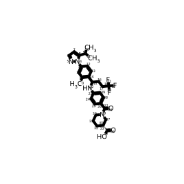 Cc1cc(-n2nccc2C(C)C)ccc1C(CCC(F)(F)F)Nc1ccc(C(=O)N2CCC[C@@H](C(=O)O)C2)cc1